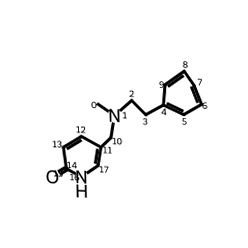 CN(CCc1ccccc1)Cc1ccc(=O)[nH]c1